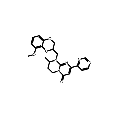 COc1cccc2c1OC(CN1c3nc(-c4ccncn4)cc(=O)n3CCC1C)CO2